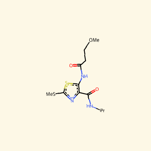 COCCC(=O)Nc1sc(SC)nc1C(=O)NC(C)C